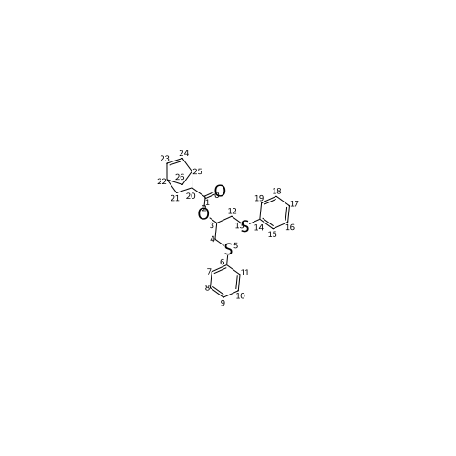 O=C(OC(CSc1ccccc1)CSc1ccccc1)C1CC2C=CC1C2